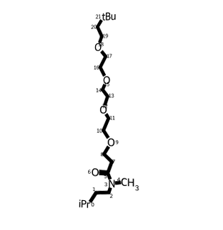 CC(C)CCN(C)C(=O)CCOCCOCCOCCOCCC(C)(C)C